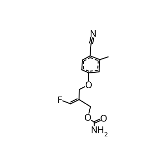 Cc1cc(OC/C(=C\F)COC(N)=O)ccc1C#N